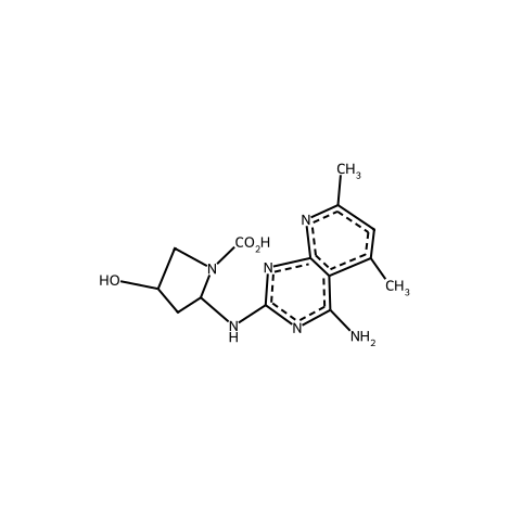 Cc1cc(C)c2c(N)nc(NC3CC(O)CN3C(=O)O)nc2n1